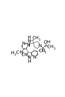 CC(Nc1ncc(N(C)C)c(C2CNc3ncc(C(F)(F)F)cc32)n1)C1(F)CCN(C(=O)[C@@H](C)O)CC1